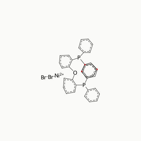 [Br-].[Br-].[Ni+2].c1ccc(P(c2ccccc2)c2ccccc2Oc2ccccc2P(c2ccccc2)c2ccccc2)cc1